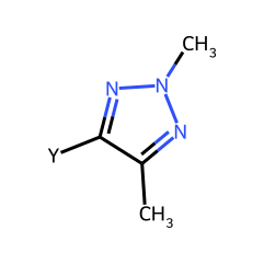 Cc1nn(C)n[c]1[Y]